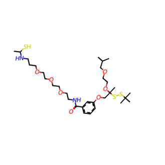 CC(C)COCCOC(C)(COc1cccc(C(=O)NCCOCCOCCOCCCNC(C)S)c1)SSC(C)(C)C